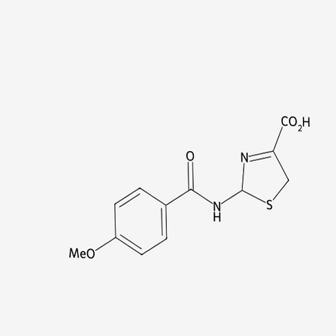 COc1ccc(C(=O)NC2N=C(C(=O)O)CS2)cc1